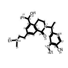 CCOc1cc(C(C)N2CCc3c(cc(CCN(C)CC)cc3C(O)C(C)C)C2=O)ncc1C#N